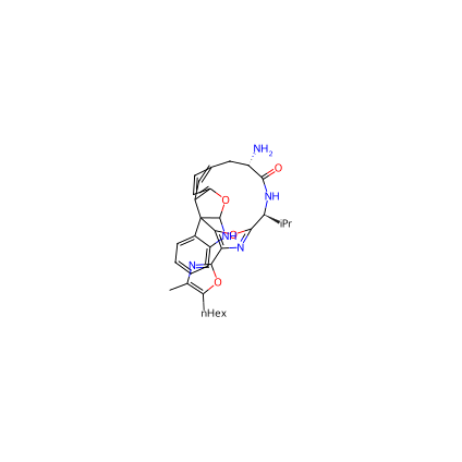 CCCCCCc1oc(-c2nc3oc2C24c5ccccc5NC2Oc2ccc(cc24)C[C@H](N)C(=O)N[C@H]3C(C)C)nc1C